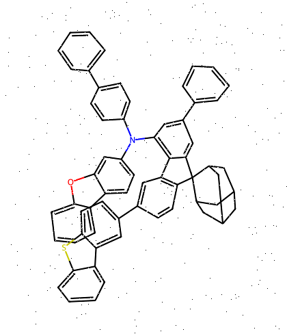 c1ccc(-c2ccc(N(c3ccc4c(c3)oc3ccccc34)c3cc(-c4ccccc4)cc4c3-c3cc(-c5ccc6sc7ccccc7c6c5)ccc3C43C4CC5CC(C4)CC3C5)cc2)cc1